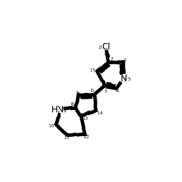 Clc1cncc(C2=CC3NCCCC3C2)c1